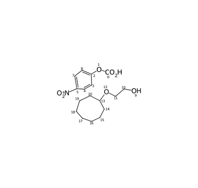 O=C(O)Oc1ccc([N+](=O)[O-])cc1.OCCOC1CCCCCCC1